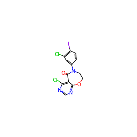 O=C1c2c(Cl)ncnc2OCCN1c1ccc(I)c(Cl)c1